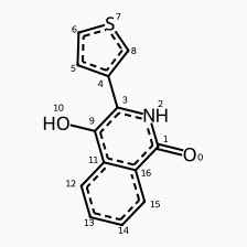 O=c1[nH]c(-c2ccsc2)c(O)c2ccccc12